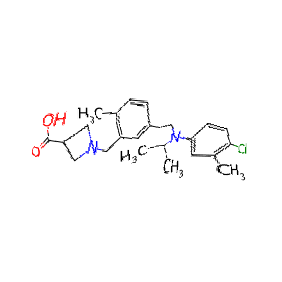 Cc1cc(N(Cc2ccc(C)c(CN3CC(C(=O)O)C3)c2)C(C)C)ccc1Cl